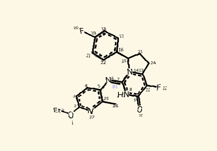 CCOc1ccc(/N=c2\[nH]c(=O)c(F)c3n2C(c2ccc(F)cc2)CC3)c(C)n1